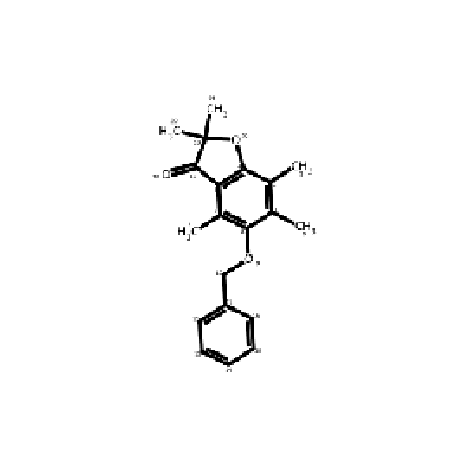 Cc1c(C)c2c(c(C)c1OCc1ccccc1)C(=O)C(C)(C)O2